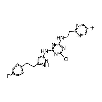 Fc1ccc(CCc2cc(Nc3nc(Cl)nc(NCCc4ncc(F)cn4)n3)n[nH]2)cc1